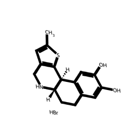 Br.Cc1cc2c(s1)[C@H]1c3cc(O)c(O)cc3CC[C@@H]1NC2